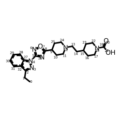 CCc1nn(-c2noc(C3CCN(CCC4CCN(C(=O)O)CC4)CC3)n2)c2ccccc12